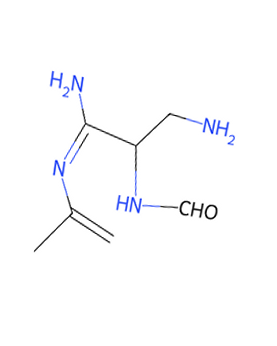 C=C(C)/N=C(/N)C(CN)NC=O